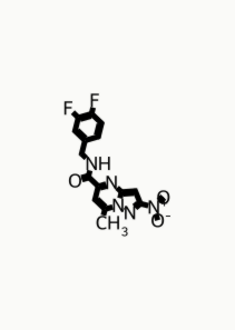 Cc1cc(C(=O)NCc2ccc(F)c(F)c2)nc2cc([N+](=O)[O-])nn12